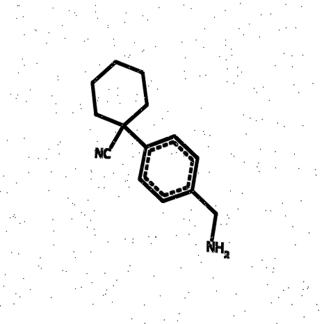 N#CC1(c2ccc(CN)cc2)CCCCC1